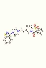 CC1N(CCCCN2CCN(c3nsc4ccccc34)CC2)C(=O)C(C)(C)S1(=O)=O